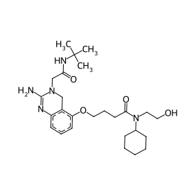 CC(C)(C)NC(=O)CN1Cc2c(cccc2OCCCC(=O)N(CCO)C2CCCCC2)N=C1N